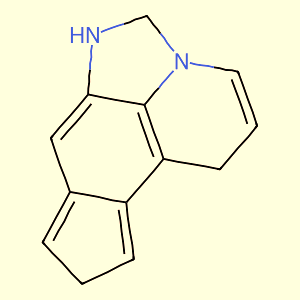 C1=CN2CNc3cc4c(c(c32)C1)=CCC=4